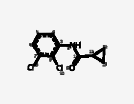 O=C(Nc1cccc(Cl)c1Cl)C1CC1